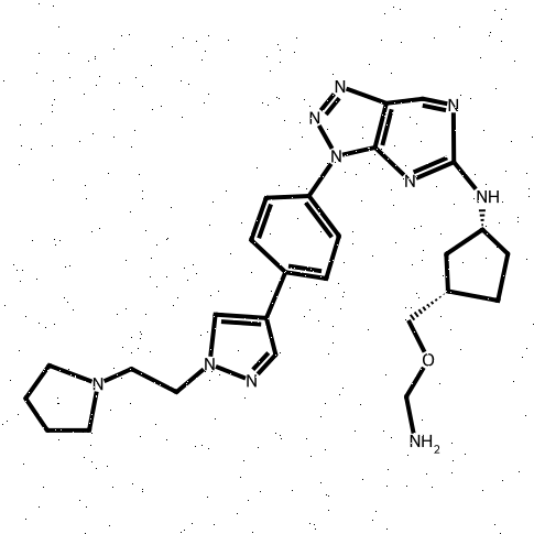 NCOC[C@H]1CC[C@@H](Nc2ncc3nnn(-c4ccc(-c5cnn(CCN6CCCC6)c5)cc4)c3n2)C1